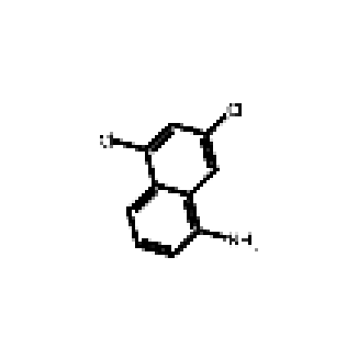 Nc1cccc2c(Cl)cc(Cl)cc12